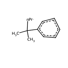 CC[CH]C(C)(C)c1ccccc1